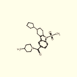 CC1CCN(C(=O)c2ccc3c(c2)c2c(n3S(C)(=O)=O)CCN(C3CCCC3)C2)CC1